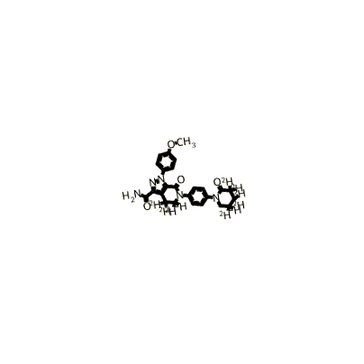 [2H]C1([2H])CN(c2ccc(N3C(=O)c4c(c(C(N)=O)nn4-c4ccc(OC)cc4)C([2H])([2H])C3([2H])[2H])cc2)C(=O)C([2H])([2H])C1([2H])[2H]